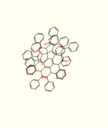 O=C(c1ccccc1)C(C1=C(C(C(=O)c2ccccc2)c2ccccc2)C(C(C(=O)c2ccccc2)c2ccccc2)(C(C(=O)c2ccccc2)c2ccccc2)c2c1c(C(C(=O)c1ccccc1)c1ccccc1)c(C(C(=O)c1ccccc1)c1ccccc1)c(C(C(=O)c1ccccc1)c1ccccc1)c2C(C(=O)c1ccccc1)c1ccccc1)c1ccccc1